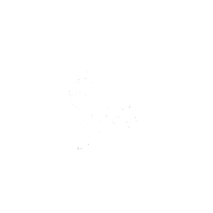 CC[C@H](C)Oc1cc(Oc2ccc(C(=O)N3CCC3)nc2)cc(C(=O)Nc2ccn(C)n2)c1